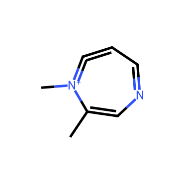 CC1=CN=CC=C=[N+]1C